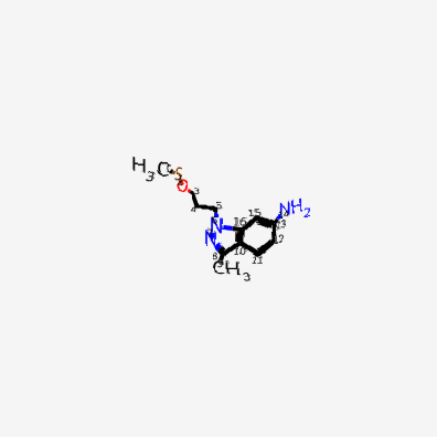 CSOCCCn1nc(C)c2ccc(N)cc21